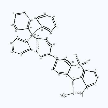 Cc1nc2cccc3c2n1-c1ccc(-c2ccc([Si](c4ccccc4)(c4ccccc4)c4ccccc4)cc2)cc1S3(=O)=O